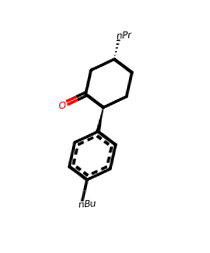 CCCCc1ccc([C@@H]2CC[C@@H](CCC)CC2=O)cc1